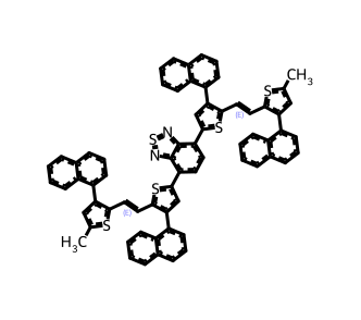 Cc1cc(-c2cccc3ccccc23)c(/C=C/c2sc(-c3ccc(-c4cc(-c5cccc6ccccc56)c(/C=C/c5sc(C)cc5-c5cccc6ccccc56)s4)c4nsnc34)cc2-c2cccc3ccccc23)s1